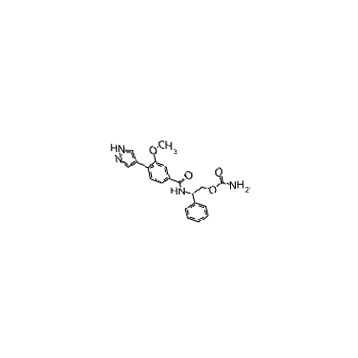 COc1cc(C(=O)NC(COC(N)=O)c2ccccc2)ccc1-c1cn[nH]c1